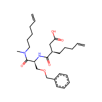 C=CCCCCN(C)C(=O)[C@H](COCc1ccccc1)NC(=O)[C@H](CCCC=C)CC(=O)O